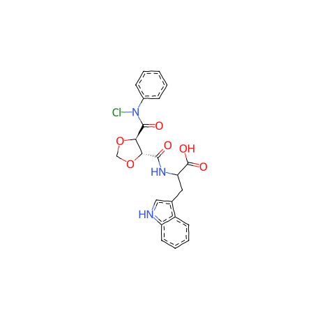 O=C(O)C(Cc1c[nH]c2ccccc12)NC(=O)[C@@H]1OCO[C@H]1C(=O)N(Cl)c1ccccc1